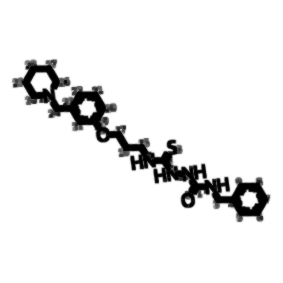 O=C(NCc1ccccc1)NNC(=S)NCCCOc1cccc(CN2CCCCC2)c1